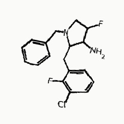 NC1C(F)CN(Cc2ccccc2)C1Cc1cccc(Cl)c1F